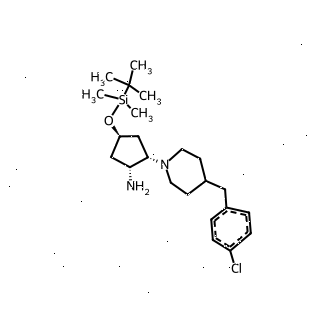 CC(C)(C)[Si](C)(C)O[C@@H]1C[C@@H](N)[C@@H](N2CCC(Cc3ccc(Cl)cc3)CC2)C1